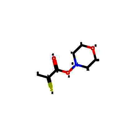 CC(=S)C(=O)ON1CCOCC1